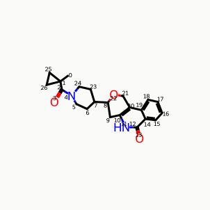 CC1(C(=O)N2CCC(C3Cc4[nH]c(=O)c5ccccc5c4CO3)CC2)CC1